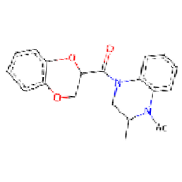 CC(=O)N1c2ccccc2N(C(=O)C2COc3ccccc3O2)CC1C